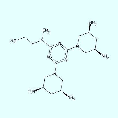 CN(CCO)c1nc(N2C[C@H](N)C[C@H](N)C2)nc(N2C[C@H](N)C[C@H](N)C2)n1